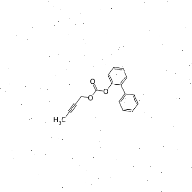 CC#CCOC(=O)Oc1ccccc1-c1ccccc1